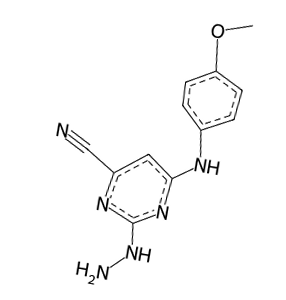 COc1ccc(Nc2cc(C#N)nc(NN)n2)cc1